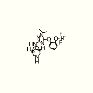 CC(C)n1nc(NC2[C@@H]3CC[C@H]2CNC3)nc1Oc1ccccc1OC(F)(F)F